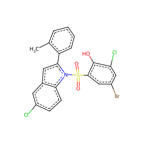 Cc1ccccc1-c1cc2cc(Cl)ccc2n1S(=O)(=O)c1cc(Br)cc(Cl)c1O